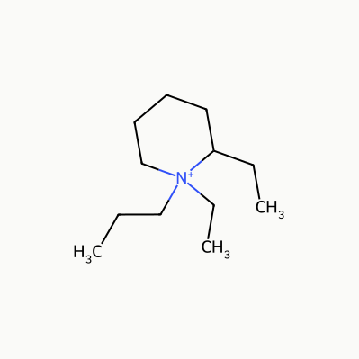 CCC[N+]1(CC)CCCCC1CC